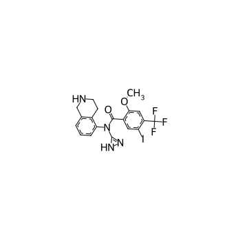 COc1cc(C(F)(F)F)c(I)cc1C(=O)N(C1=NN1)c1cccc2c1CCNC2